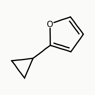 c1coc(C2CC2)c1